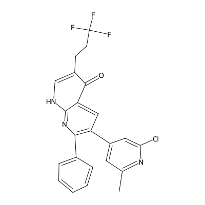 Cc1cc(-c2cc3c(=O)c(CCC(F)(F)F)c[nH]c3nc2-c2ccccc2)cc(Cl)n1